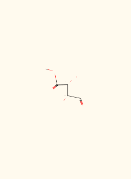 COC(=O)[C@@H](O)[C@H](O)C=O